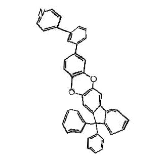 c1ccc(C2(c3ccccc3)c3ccccc3-c3cc4c(cc32)Oc2ccc(-c3cccc(-c5ccncc5)c3)cc2O4)cc1